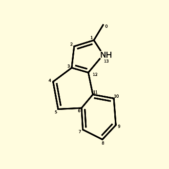 Cc1cc2ccc3ccccc3c2[nH]1